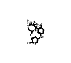 CC1(C)OCC(=O)NC(C)(c2cc(Nc3ccc(Cl)nc3)ccc2F)C1(F)F